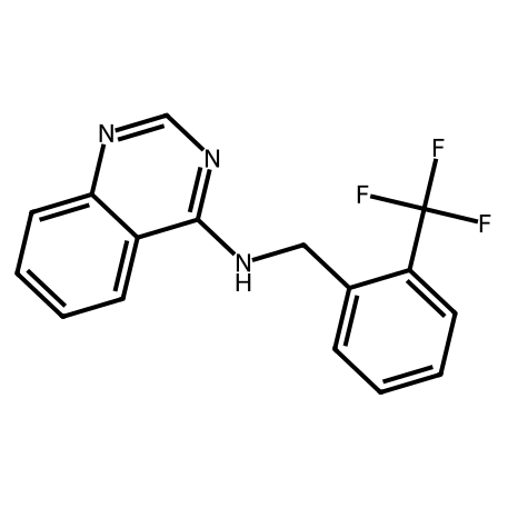 FC(F)(F)c1ccccc1CNc1ncnc2ccccc12